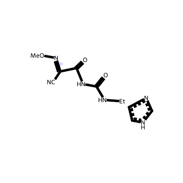 CCNC(=O)NC(=O)/C(C#N)=N/OC.c1c[nH]cn1